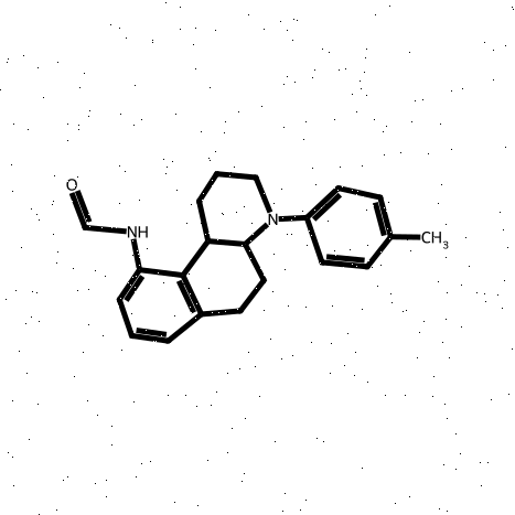 Cc1ccc(N2CCCC3c4c(cccc4NC=O)CCC32)cc1